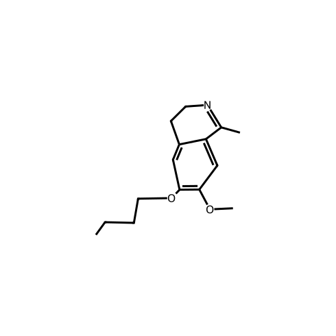 CCCCOc1cc2c(cc1OC)C(C)=NCC2